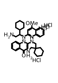 COc1cc(N(C(CN)C2CCCCC2)n2c(NCC3(CN)CCCCC3)cc(=O)c3ccccc32)nc2ccccc12.Cl.Cl.Cl.Cl